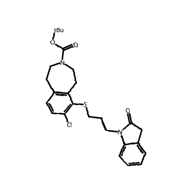 CC(C)(C)OC(=O)N1CCc2ccc(Cl)c(SCCCN3C(=O)Cc4ccccc43)c2CC1